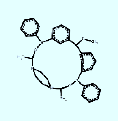 COC1c2cccc(c2)B(c2ccccc2)OC(C)N2CCN(CC2)C(C)OB(c2ccccc2)c2cccc1c2